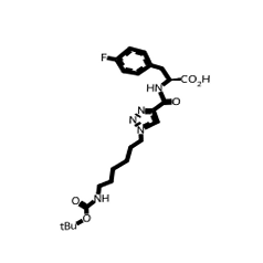 CC(C)(C)OC(=O)NCCCCCCn1cc(C(=O)N[C@@H](Cc2ccc(F)cc2)C(=O)O)nn1